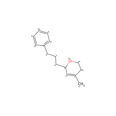 CC1=CC(CCCc2ccccc2)OCC1